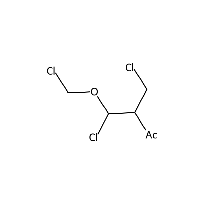 CC(=O)C(CCl)C(Cl)OCCl